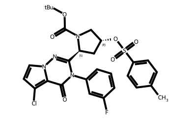 Cc1ccc(S(=O)(=O)O[C@@H]2C[C@@H](c3nn4ccc(Cl)c4c(=O)n3-c3cccc(F)c3)N(C(=O)OC(C)(C)C)C2)cc1